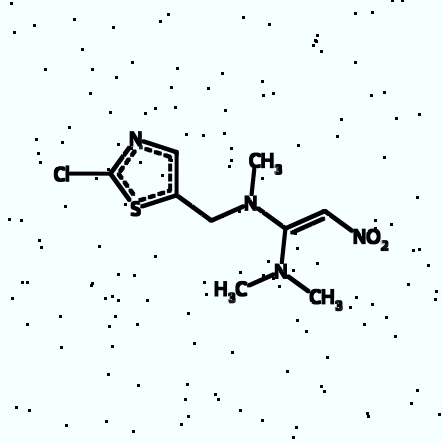 CN(C)C(=C[N+](=O)[O-])N(C)Cc1cnc(Cl)s1